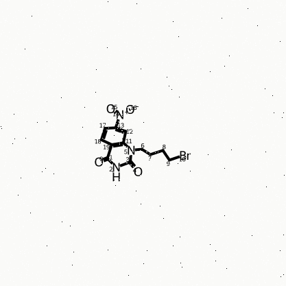 O=c1[nH]c(=O)n(CCCCBr)c2cc([N+](=O)[O-])ccc12